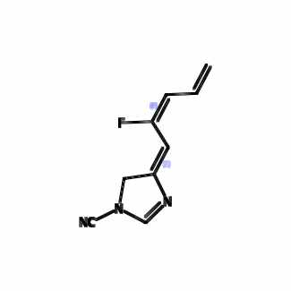 C=C/C=C(F)\C=C1/CN(C#N)C=N1